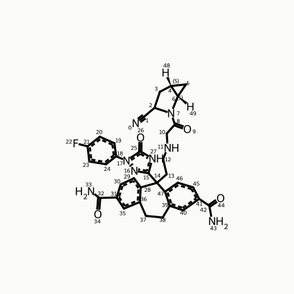 N#CC1C[C@@H]2C[C@@H]2N1C(=O)CNCCC1(c2nn(-c3ccc(F)cc3)c(=O)[nH]2)c2ccc(C(N)=O)cc2CCc2cc(C(N)=O)ccc21